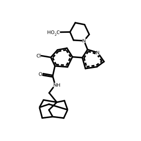 O=C(NCC12CC3CC(CC(C3)C1)C2)c1cc(-c2cccnc2N2CCCC(C(=O)O)C2)ccc1Cl